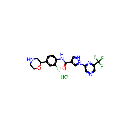 Cl.O=C(Nc1ccc(C2CNCCO2)cc1Cl)c1cnn(-c2cncc(C(F)(F)F)n2)c1